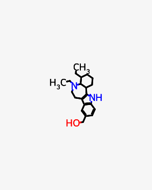 CCC1CCCC2c3[nH]c4ccc(CO)cc4c3CCN(CC)C12